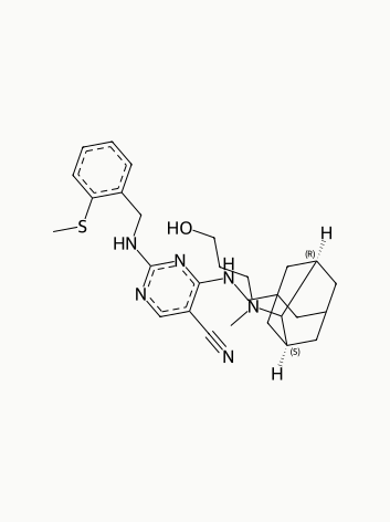 CSc1ccccc1CNc1ncc(C#N)c(NCC23CC4C[C@H](C2)C(N(C)CCCO)[C@@H](C4)C3)n1